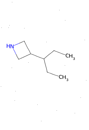 CCC(CC)C1CNC1